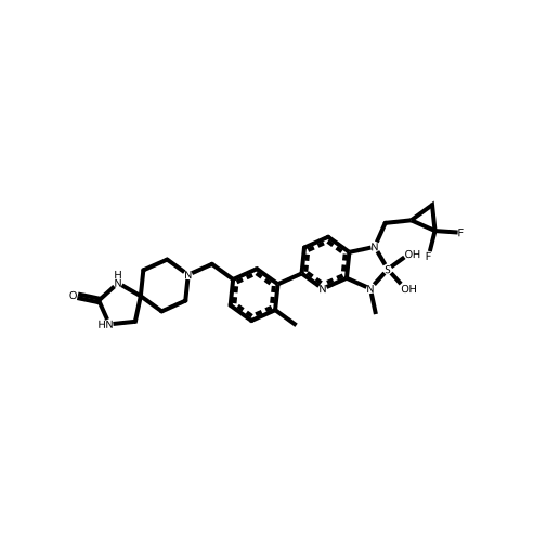 Cc1ccc(CN2CCC3(CC2)CNC(=O)N3)cc1-c1ccc2c(n1)N(C)S(O)(O)N2CC1CC1(F)F